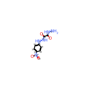 NNC(=O)C(=O)NNc1ccc([N+](=O)[O-])cc1